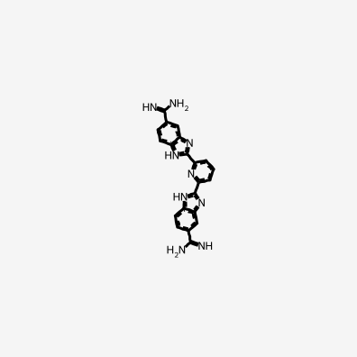 N=C(N)c1ccc2[nH]c(-c3cccc(-c4nc5cc(C(=N)N)ccc5[nH]4)n3)nc2c1